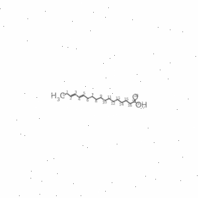 CCC=CC=CCCCCCCCCCCCC(=O)O